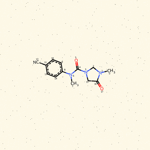 CN1CN(C(=O)N(C)c2ccc(C#N)cc2)CC1=O